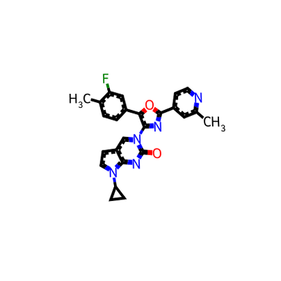 Cc1cc(-c2nc(-n3cc4ccn(C5CC5)c4nc3=O)c(-c3ccc(C)c(F)c3)o2)ccn1